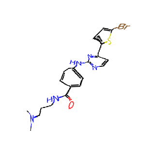 CN(C)CCCNC(=O)c1ccc(Nc2nccc(-c3ccc(Br)s3)n2)cc1